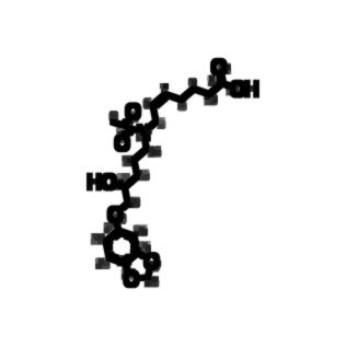 CS(=O)(=O)N(C/C=C\CCCC(=O)O)CCCC(O)COc1ccc2c(c1)OCO2